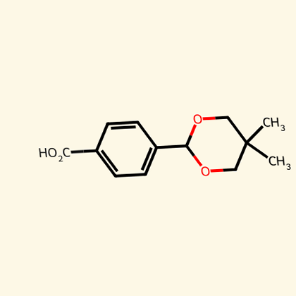 CC1(C)COC(c2ccc(C(=O)O)cc2)OC1